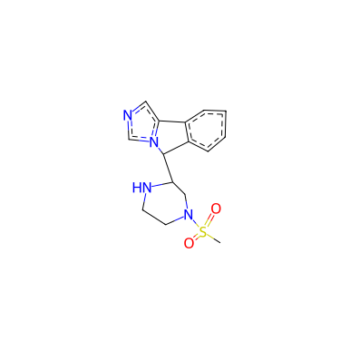 CS(=O)(=O)N1CCNC(C2c3ccccc3-c3cncn32)C1